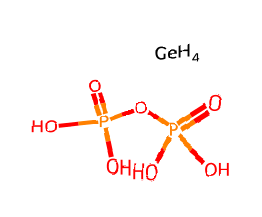 O=P(O)(O)OP(=O)(O)O.[GeH4]